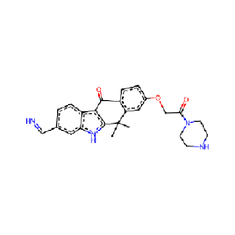 CC1(C)c2cc(OCC(=O)N3CCNCC3)ccc2C(=O)c2c1[nH]c1cc(C=N)ccc21